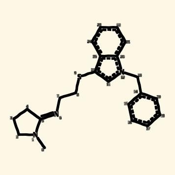 CN1CCC/C1=N\CCSc1cn(Cc2ccccc2)c2ccccc12